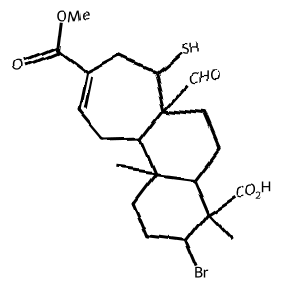 COC(=O)C1=CCC2C3(C)CCC(Br)C(C)(C(=O)O)C3CCC2(C=O)C(S)C1